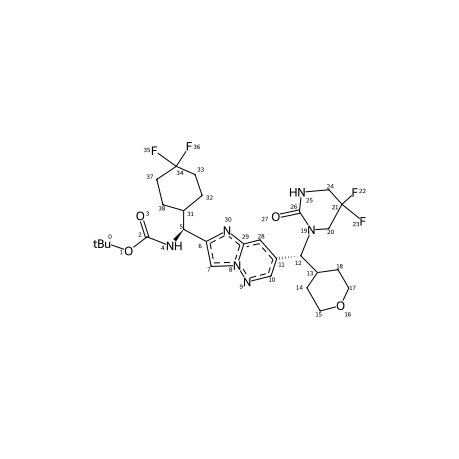 CC(C)(C)OC(=O)N[C@H](c1cn2ncc([C@@H](C3CCOCC3)N3CC(F)(F)CNC3=O)cc2n1)C1CCC(F)(F)CC1